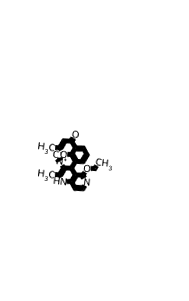 [C-]#[N+]C1=C(C)Nc2ccnc(OCC)c2C1c1cccc2c(=O)cc(C)oc12